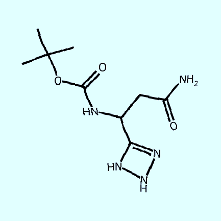 CC(C)(C)OC(=O)NC(CC(N)=O)c1n[nH][nH]1